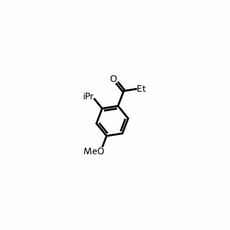 CCC(=O)c1ccc(OC)cc1C(C)C